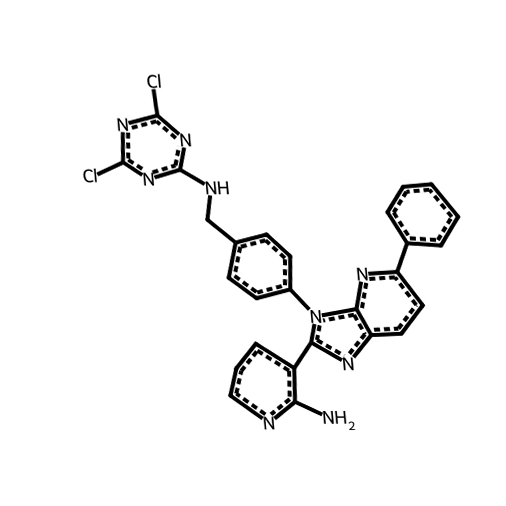 Nc1ncccc1-c1nc2ccc(-c3ccccc3)nc2n1-c1ccc(CNc2nc(Cl)nc(Cl)n2)cc1